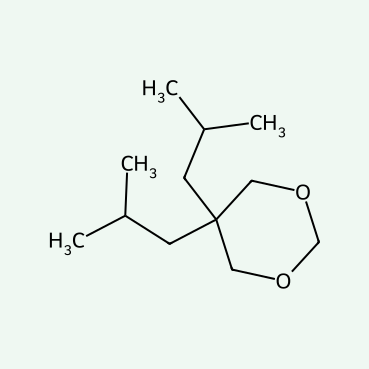 CC(C)CC1(CC(C)C)COCOC1